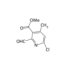 COC(=O)c1c(C)cc(Cl)nc1C=O